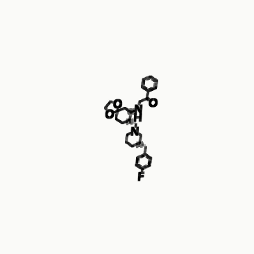 O=C(CN[C@@H]1CC2(CC[C@H]1CN1CCC[C@@H](Cc3ccc(F)cc3)C1)OCCO2)c1ccccc1